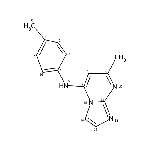 Cc1ccc(Nc2cc(C)nc3nccn23)cc1